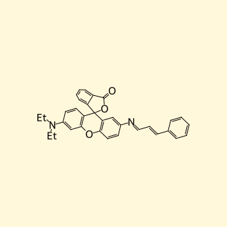 CCN(CC)c1ccc2c(c1)Oc1ccc(N=CC=Cc3ccccc3)cc1C21OC(=O)c2ccccc21